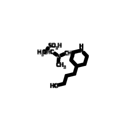 CN(C)C=O.CS(=O)(=O)O.OCCCC1CCNCC1